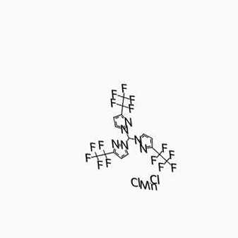 FC(F)(F)C(F)(F)c1ccn(C(n2ccc(C(F)(F)C(F)(F)F)n2)n2ccc(C(F)(F)C(F)(F)F)n2)n1.[Cl][Mn][Cl]